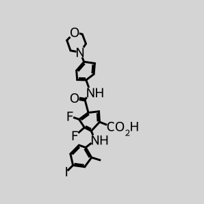 Cc1cc(I)ccc1Nc1c(C(=O)O)cc(C(=O)Nc2ccc(N3CCOCC3)cc2)c(F)c1F